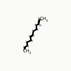 C=CCCCC=CCCCC=CC